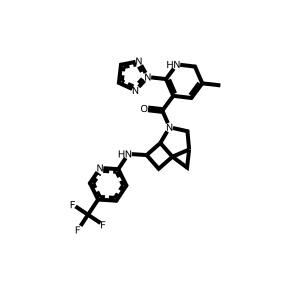 CC1=CC(C(=O)N2CC3CC34CC(Nc3ccc(C(F)(F)F)cn3)C24)=C(n2nccn2)NC1